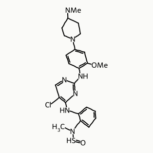 CNC1CCN(c2ccc(Nc3ncc(Cl)c(Nc4ccccc4N(C)[SH]=O)n3)c(OC)c2)CC1